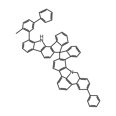 Cc1ccc(-c2ccccc2)cc1-c1cccc2c1[nH]c1c3c(ccc12)C1(c2ccccc2-3)c2ccccc2-c2c1ccc1c3cccc4c3n(c21)Cc1ccc(-c2ccccc2)cc1-4